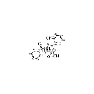 CP(C)(=O)OC(=CNC(=O)c1ccccc1)c1ccccc1Cl